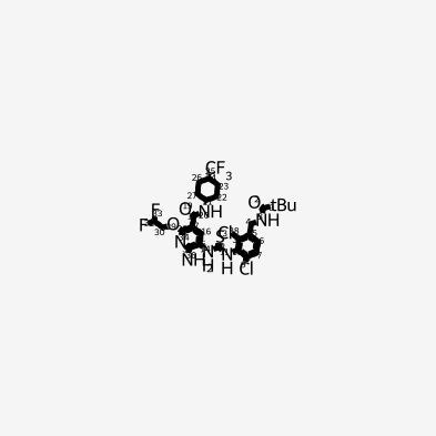 CC(C)(C)C(=O)NCc1ccc(Cl)c(NC(=S)Nc2cc(C(=O)N[C@H]3CC[C@H](C(F)(F)F)CC3)c(OCC(F)F)nc2N)c1Cl